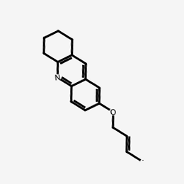 [CH2]/C=C/COc1ccc2nc3c(cc2c1)CCCC3